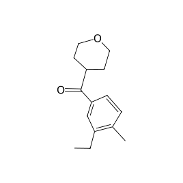 CCc1cc(C(=O)C2CCOCC2)ccc1C